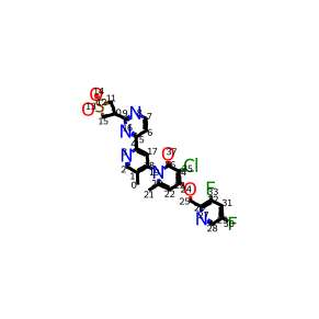 Cc1cnc(-c2ccnc(C3CS(=O)(=O)C3)n2)cc1-n1c(C)cc(OCc2ncc(F)cc2F)c(Cl)c1=O